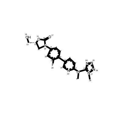 CN(c1ccc(-c2ccc(N3C[C@H](CO)OC3=O)cc2F)cn1)c1nnnn1C